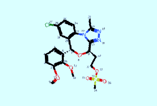 COc1cccc([C@H]2O[C@H](CCOS(C)(=O)=O)c3nnc(C)n3-c3ccc(Cl)cc32)c1OC